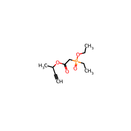 C#CC(C)OC(=O)CP(=O)(CC)OCC